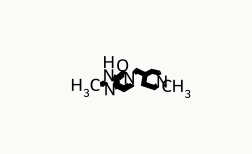 Cc1nc2ccn(CC3CCN(C)CC3)c(=O)c2[nH]1